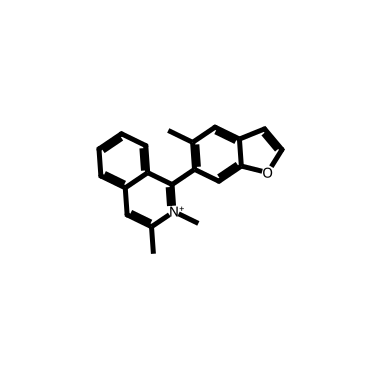 Cc1cc2ccoc2cc1-c1c2ccccc2cc(C)[n+]1C